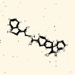 O=C(NCC(=O)c1c[nH]c2ccccc12)c1cc2c(cn1)CC1(C2)C(=O)Nc2ncccc21